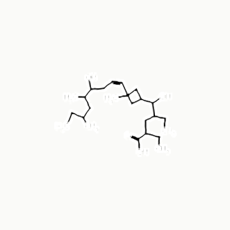 CCC(C)CC(C)C(O)C/C=C\C1(C)CC(C(O)C(CC)CC(CC)C(=O)O)C1